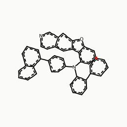 c1ccc(-c2ccccc2N(c2ccc(-c3cccc4ccccc34)cc2)c2cccc3oc4cc5cnccc5cc4c23)cc1